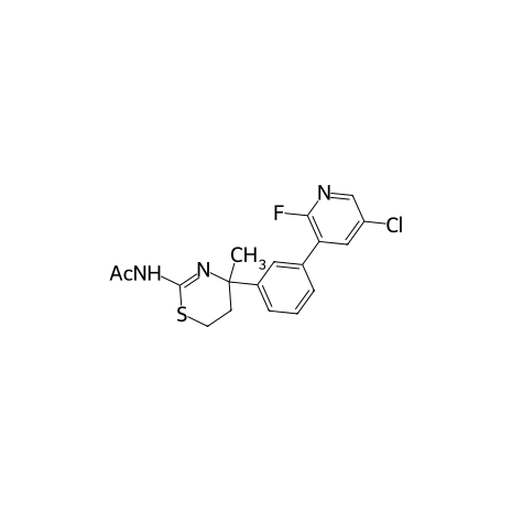 CC(=O)NC1=NC(C)(c2cccc(-c3cc(Cl)cnc3F)c2)CCS1